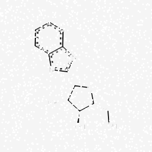 OC[C@H]1O[C@@H](c2nc3ccccc3[nH]2)[C@@H](O)[C@@H]1O